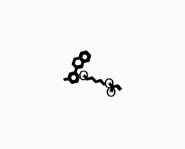 C=CC(=O)OCCCCCOc1ccc(C)cc1C1=Cc2ccccc2CC1